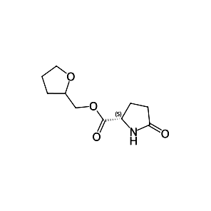 O=C1CC[C@@H](C(=O)OCC2CCCO2)N1